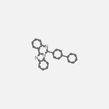 c1ccc(-c2ccc(-c3nc4ccccc4c4nc5ccccc5n34)cc2)cc1